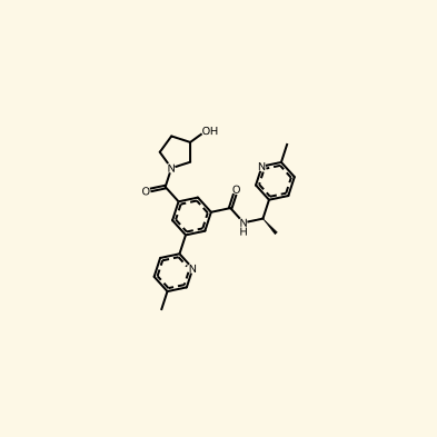 Cc1ccc(-c2cc(C(=O)N[C@H](C)c3ccc(C)nc3)cc(C(=O)N3CCC(O)C3)c2)nc1